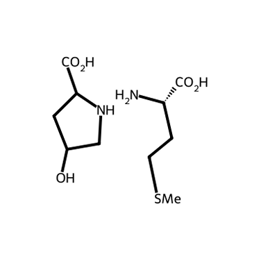 CSCC[C@H](N)C(=O)O.O=C(O)C1CC(O)CN1